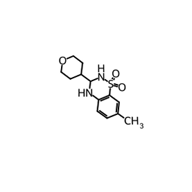 Cc1ccc2c(c1)S(=O)(=O)NC(C1CCOCC1)N2